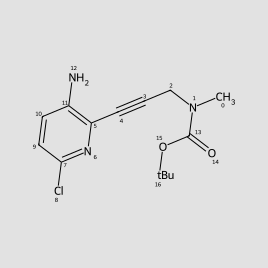 CN(CC#Cc1nc(Cl)ccc1N)C(=O)OC(C)(C)C